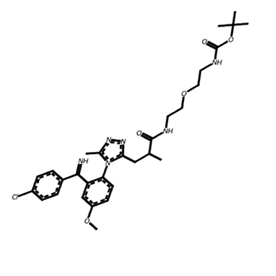 COc1ccc(-n2c(C)nnc2CC(C)C(=O)NCCOCCNC(=O)OC(C)(C)C)c(C(=N)c2ccc(Cl)cc2)c1